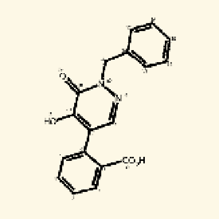 O=C(O)c1ccccc1-c1cnn(Cc2ccccc2)c(=O)c1O